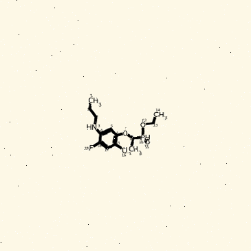 CCCNc1cc(OC(C)[PH](=O)OCC)c(Cl)cc1F